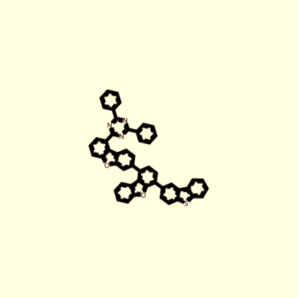 c1ccc(-c2nc(-c3ccccc3)nc(-c3cccc4oc5cc(-c6ccc(-c7ccc8sc9ccccc9c8c7)c7oc8ccccc8c67)ccc5c34)n2)cc1